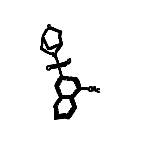 CC(=O)Oc1cc(S(=O)(=O)N2CC3CC2CS3)cc2ccccc12